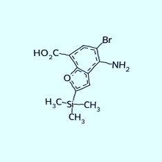 C[Si](C)(C)c1cc2c(N)c(Br)cc(C(=O)O)c2o1